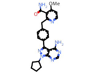 COc1ccnc(Cc2ccc(-c3nn(C4CCCC4)c4ncnc(N)c34)cc2)c1C(N)=O